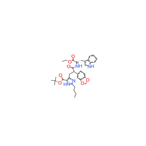 CCCCc1nc(CC(C(=O)N[C@@H](Cc2c[nH]c3ccccc23)C(=O)OCC)c2ccc3c(c2)OCO3)c(C(=O)OC(C)(C)C)[nH]1